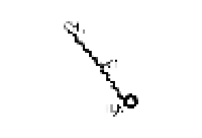 CCCCCCCCCCCCCCCCCCc1ccccc1N.Cl